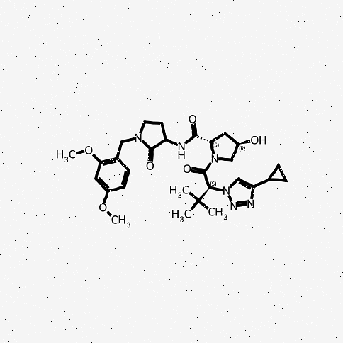 COc1ccc(CN2CCC(NC(=O)[C@@H]3C[C@@H](O)CN3C(=O)[C@@H](n3cc(C4CC4)nn3)C(C)(C)C)C2=O)c(OC)c1